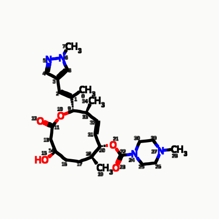 C/C(=C\c1cnn(C)c1)[C@H]1OC(=O)C[C@H](O)CC[C@H](C)[C@@H](OC(=O)N2CCN(C)CC2)/C=C/[C@@H]1C